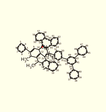 CC1C(c2ccccc2)=CC2(C)C3=C1C(C)c1sc4ccccc4c1C3(C)N(c1ccc(-c3cc(-c4ccccc4)cc(-c4ccccc4)c3)cc1)c1c2c2ccccc2c2ccccc12